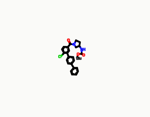 CC(C)(C)OC(=O)NC1CCN(C(=O)c2ccc(Cl)c(-c3ccc(-c4ccccc4)cc3)c2)C1